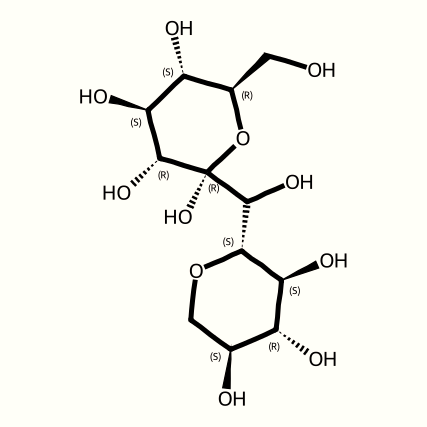 OC[C@H]1O[C@@](O)(C(O)[C@H]2OC[C@H](O)[C@@H](O)[C@@H]2O)[C@H](O)[C@@H](O)[C@@H]1O